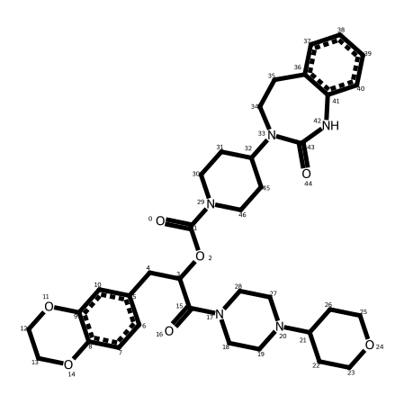 O=C(OC(Cc1ccc2c(c1)OCCO2)C(=O)N1CCN(C2CCOCC2)CC1)N1CCC(N2CCc3ccccc3NC2=O)CC1